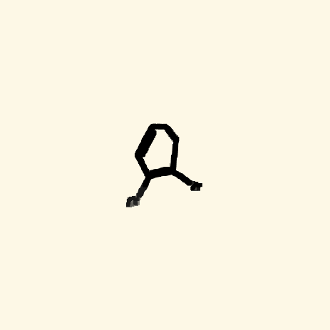 CCC1=[C]([Zr])CC=C1